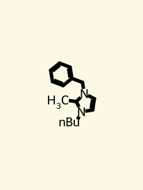 CCCCN1C=CN(Cc2ccccc2)C1C